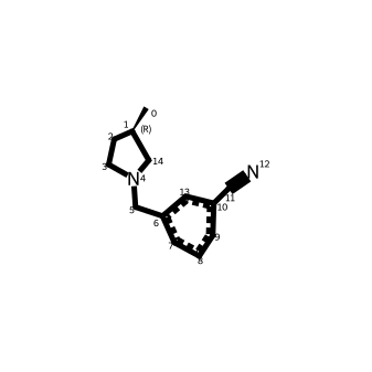 C[C@@H]1CCN(Cc2cccc(C#N)c2)C1